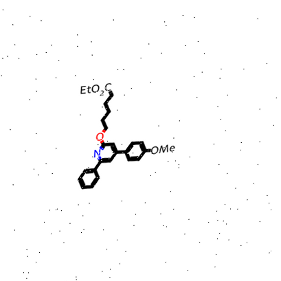 CCOC(=O)CCCCCOc1cc(-c2ccc(OC)cc2)cc(-c2ccccc2)n1